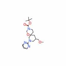 COCC1CN(c2ncccn2)CC2(CCN(C(=O)OC(C)(C)C)CO2)C1